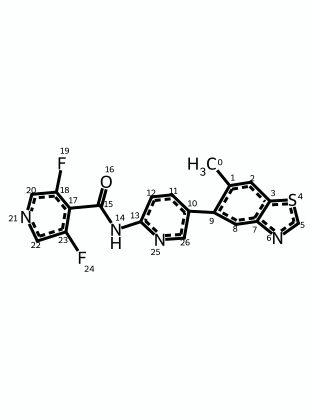 Cc1cc2scnc2cc1-c1ccc(NC(=O)c2c(F)cncc2F)nc1